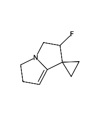 FC1CN2CCC=C2C12CC2